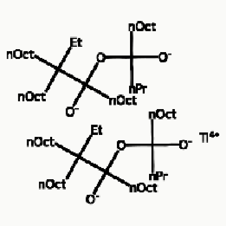 CCCCCCCCC([O-])(CCC)OC([O-])(CCCCCCCC)C(CC)(CCCCCCCC)CCCCCCCC.CCCCCCCCC([O-])(CCC)OC([O-])(CCCCCCCC)C(CC)(CCCCCCCC)CCCCCCCC.[Ti+4]